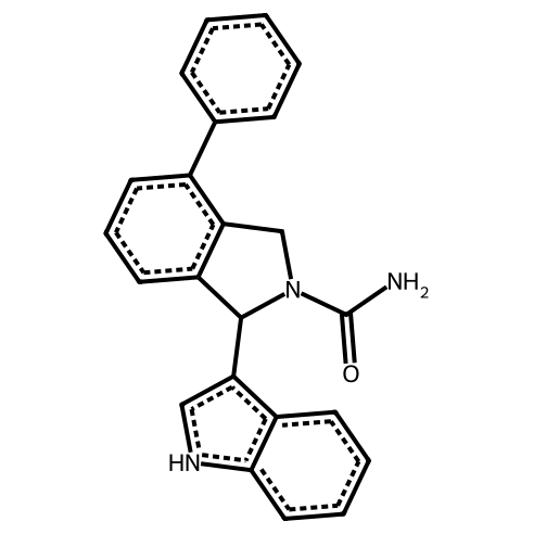 NC(=O)N1Cc2c(-c3ccccc3)cccc2C1c1c[nH]c2ccccc12